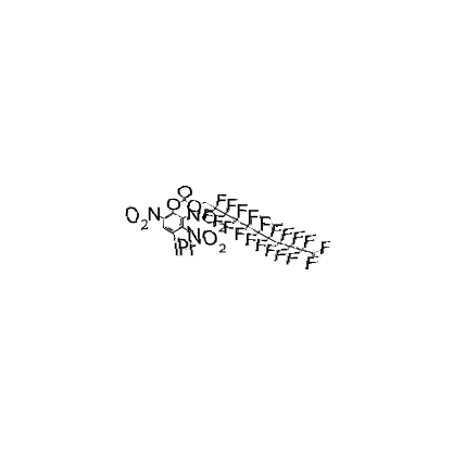 CC(C)c1cc([N+](=O)[O-])c(OC(=O)OCC(F)(F)C(F)(F)C(F)(F)C(F)(F)C(F)(F)C(F)(F)C(F)(F)C(F)(F)C(F)(F)C(F)F)c([N+](=O)[O-])c1[N+](=O)[O-]